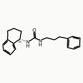 O=C(NCCCc1ccccc1)N[C@H]1CCCc2ccccc21